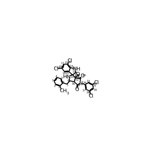 Cc1ccccc1CC1NC2(C(=O)Nc3c(Cl)cc(Cl)cc32)[C@@H]2C(=O)N(c3cc(Cl)cc(Cl)c3)C(=O)C12